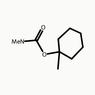 CNC(=O)OC1(C)CCCCC1